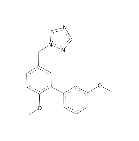 COc1cccc(-c2cc(Cn3cncn3)ccc2OC)c1